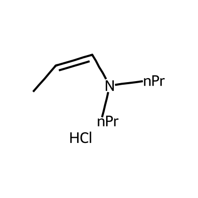 C/C=C\N(CCC)CCC.Cl